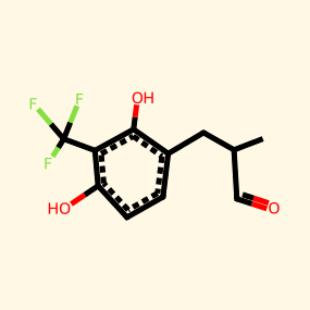 CC(C=O)Cc1ccc(O)c(C(F)(F)F)c1O